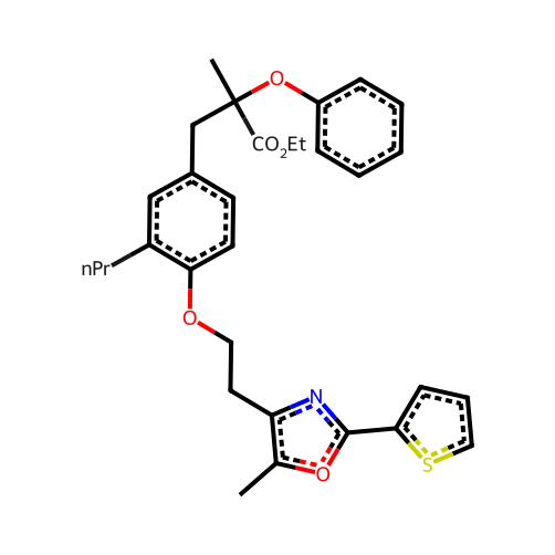 CCCc1cc(CC(C)(Oc2ccccc2)C(=O)OCC)ccc1OCCc1nc(-c2cccs2)oc1C